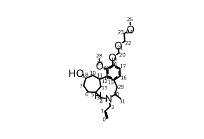 C=CCN1C[C@H]2CC[C@H](O)C[C@](C)(C2)c2c(ccc(OCOCCOC)c2OC)CC1C